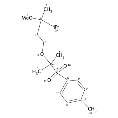 COC(C)(CCOC(C)(C)S(=O)(=O)c1ccc(C)cc1)C(C)C